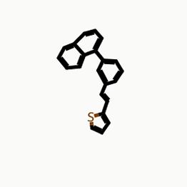 C(=C\c1cccs1)/c1cccc(-c2cccc3ccccc23)c1